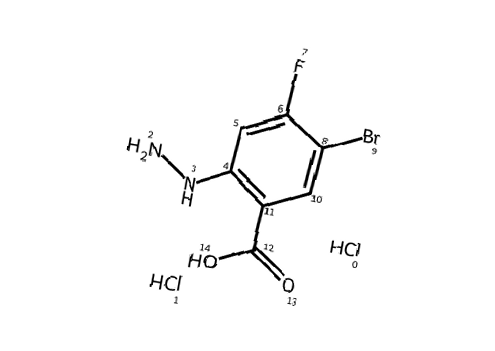 Cl.Cl.NNc1cc(F)c(Br)cc1C(=O)O